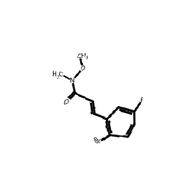 CON(C)C(=O)/C=C/c1cc(F)ccc1Br